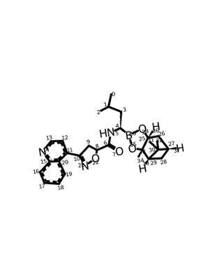 CC(C)C[C@H](NC(=O)C1CC(c2ccnc3ccccc23)=NO1)B1O[C@@H]2C[C@@H]3C[C@@H](C3(C)C)[C@]2(C)O1